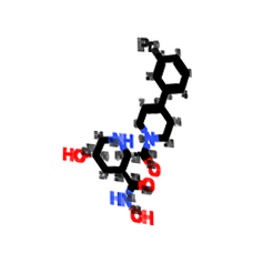 CC(C)c1cccc(C2=CCN(C(=O)[C@H]3NC[C@@H](O)C[C@@H]3C(=O)NO)CC2)c1